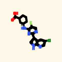 O=C(O)C1CCC[C@H](Nc2nc(-c3c[nH]c4ncc(Cl)cc34)ncc2F)C1